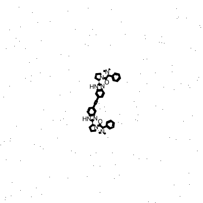 CN(C)[C@@H](C(=O)N1CCC[C@H]1c1nc2cc(C#Cc3ccc4nc([C@@H]5CCCN5C(=O)[C@@H](c5ccccc5)N(C)C)[nH]c4c3)ccc2[nH]1)c1ccccc1